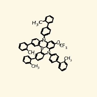 Cc1ccccc1-c1ccc(N2c3ccc(-c4ccccc4C)cc3B3c4cc(-c5ccccc5C)ccc4N(c4ccc(-c5ccccc5C)cc4)c4cc(OC(F)(F)F)cc2c43)cc1